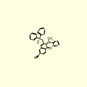 CN(c1ccccn1)n1c(CP(=O)(c2ccccc2)c2ccccc2)cc2cc(C#N)ccc2c1=O